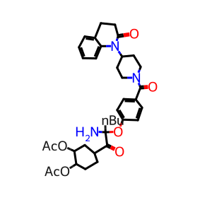 CCCCC(N)(Oc1ccc(C(=O)N2CCC(N3C(=O)CCc4ccccc43)CC2)cc1)C(=O)C1CCC(OC(C)=O)C(OC(C)=O)C1